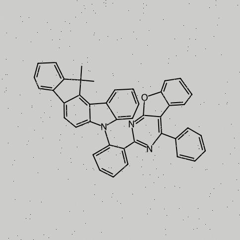 CC1(C)c2ccccc2-c2ccc3c(c21)c1ccccc1n3-c1ccccc1-c1nc(-c2ccccc2)c2c(n1)oc1ccccc12